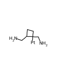 NCC1CC[C]1([Pt])CN